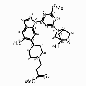 COC(=O)CCN1CCC(c2cc3c(cnn3-c3cc(N4C[C@@H]5CC4CO5)nc(OC)n3)cc2C)CC1